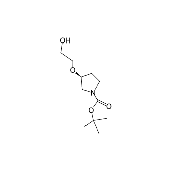 CC(C)(C)OC(=O)N1CC[C@H](OCCO)C1